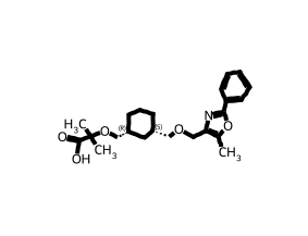 Cc1oc(-c2ccccc2)nc1COC[C@H]1CCC[C@@H](COC(C)(C)C(=O)O)C1